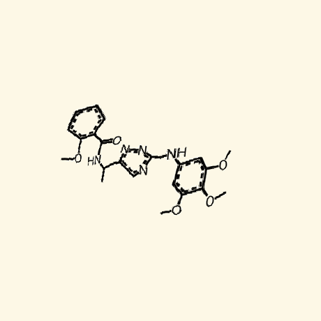 COc1ccccc1C(=O)NC(C)c1cnc(Nc2cc(OC)c(OC)c(OC)c2)nn1